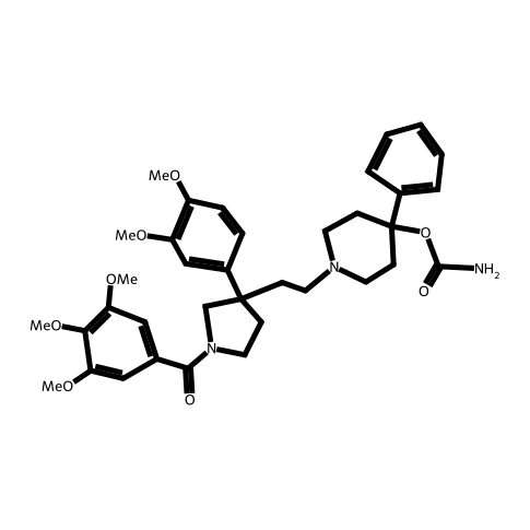 COc1ccc(C2(CCN3CCC(OC(N)=O)(c4ccccc4)CC3)CCN(C(=O)c3cc(OC)c(OC)c(OC)c3)C2)cc1OC